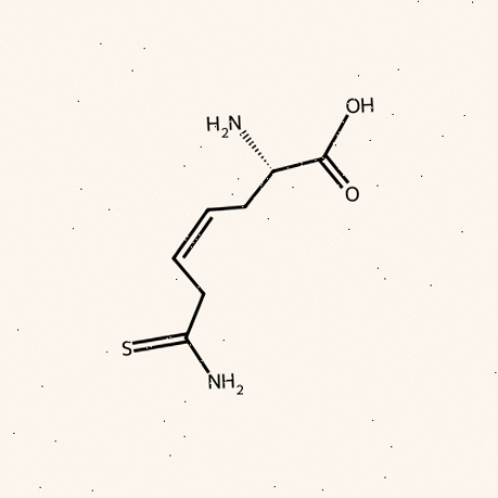 NC(=S)C/C=C\C[C@H](N)C(=O)O